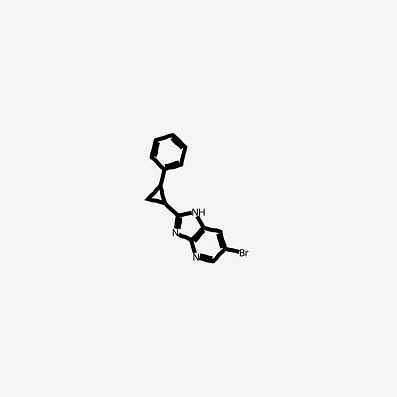 Brc1cnc2nc(C3CC3c3ccccc3)[nH]c2c1